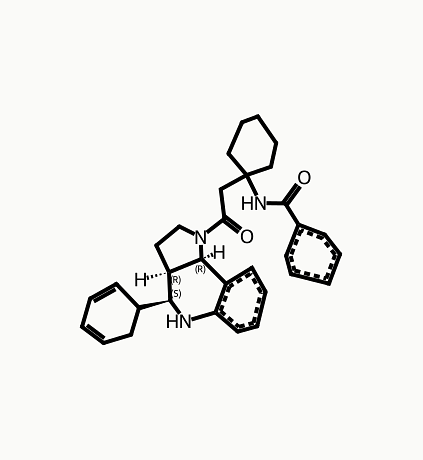 O=C(NC1(CC(=O)N2CC[C@@H]3[C@H](C4C=CC=CC4)Nc4ccccc4[C@@H]32)CCCCC1)c1ccccc1